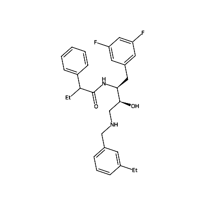 CCc1cccc(CNC[C@H](O)[C@H](Cc2cc(F)cc(F)c2)NC(=O)C(CC)c2ccccc2)c1